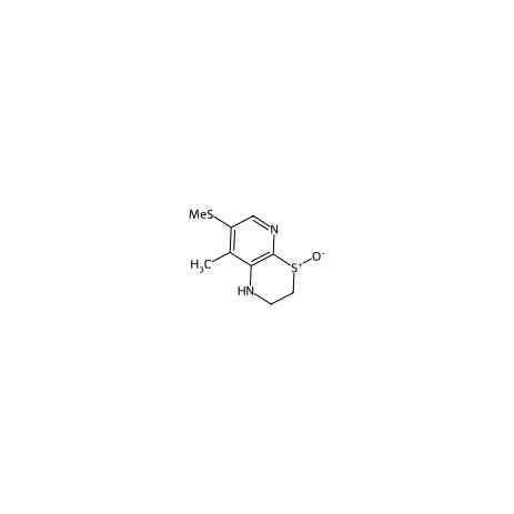 CSc1cnc2c(c1C)NCC[S+]2[O-]